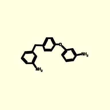 Nc1cccc(Cc2ccc(Oc3cccc(N)c3)cc2)c1